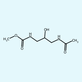 COC(=O)NCC(O)CNC(C)=O